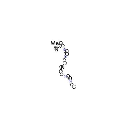 COc1ccc(/C=C/C(=O)CC(=O)/C=C/c2ccc3c(c2)CCCC(c2cccc(COc4cccc(/C=C/C(=O)CC(=O)/C=C/c5ccc6c(c5)CCCC=C6)c4)n2)C3)cc1OCc1ccccn1